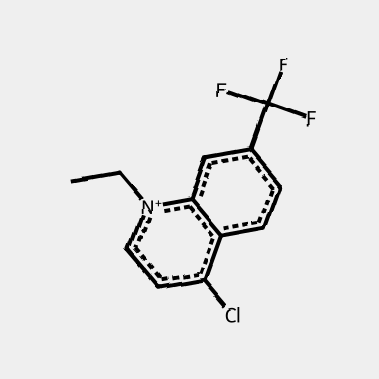 CC[n+]1ccc(Cl)c2ccc(C(F)(F)F)cc21